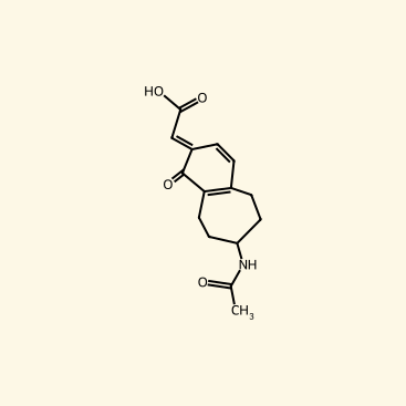 CC(=O)NC1CCC2=C(CC1)C(=O)C(=CC(=O)O)C=C2